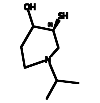 CC(C)N1CCC(O)[C@@H](S)C1